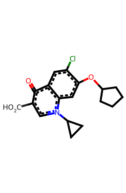 O=C(O)c1cn(C2CC2)c2cc(OC3CCCC3)c(Cl)cc2c1=O